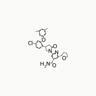 Cc1cc(C)cc(Oc2cc(Cl)ccc2C2CC(=O)N(c3cc(C(N)=O)cc(C4CCCO4)n3)C2)c1